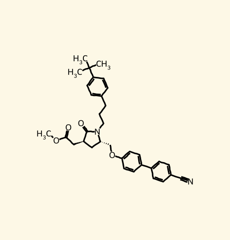 COC(=O)C[C@@H]1C[C@@H](COc2ccc(-c3ccc(C#N)cc3)cc2)N(CCCc2ccc(C(C)(C)C)cc2)C1=O